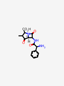 CC1C(=O)[C@@H]2C(NC(=O)C(N)c3ccccc3)C(=O)N2C1C(=O)O